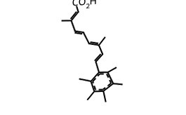 CC(C=Cc1c(C)c(C)c(C)c(C)c1C)=CC=CC(C)=CC(=O)O